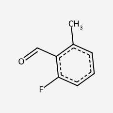 Cc1cccc(F)c1C=O